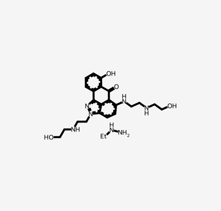 CCNN.O=C1c2c(O)cccc2-c2nn(CCNCCO)c3ccc(NCCNCCO)c1c23